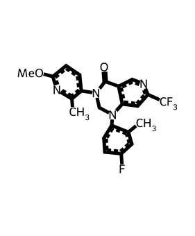 COc1ccc(N2CN(c3ccc(F)cc3C)c3cc(C(F)(F)F)ncc3C2=O)c(C)n1